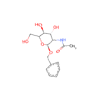 CC(=O)NC1[C@@H](OCc2ccccc2)OC(CO)[C@@H](O)[C@@H]1O